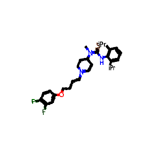 CC(C)c1cccc(C(C)C)c1NC(=S)N(C)C1CCN(CCCCOc2ccc(F)c(F)c2)CC1